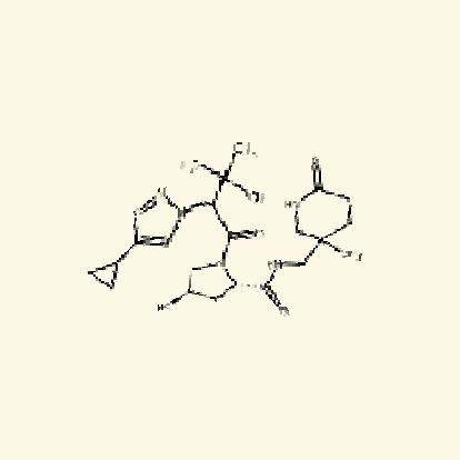 CC1(CNC(=O)[C@@H]2C[C@@H](O)CN2C(=O)[C@@H](n2cc(C3CC3)nn2)C(C)(C)C)CCC(=O)NC1